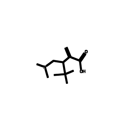 C=C(C(=O)O)C(CN(C)C)C(C)(C)C